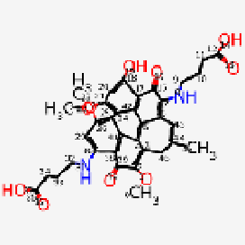 COc1c2c3c4c(c(NCCCC(=O)O)c(=O)c5c(O)cc(OC)c(c6c(OC)cc(NCCCC(=O)O)c(c1=O)c63)c54)C=C(C)C2